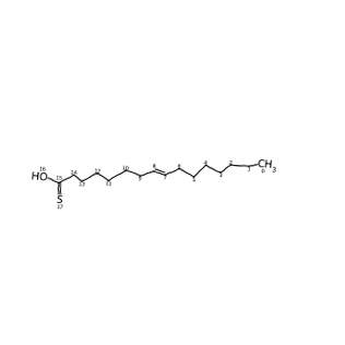 CCCCCCCC=CCCCCCCC(O)=S